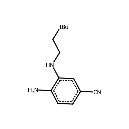 CC(C)(C)CCNc1cc(C#N)ccc1N